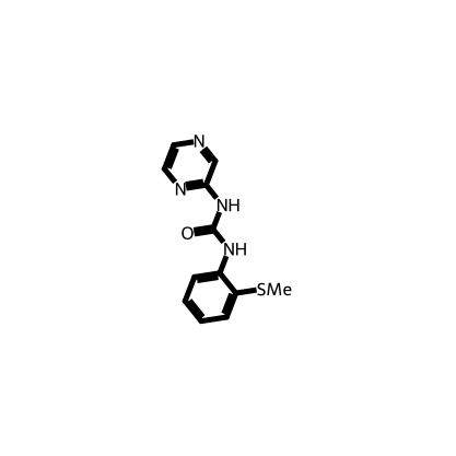 CSc1ccccc1NC(=O)Nc1cnccn1